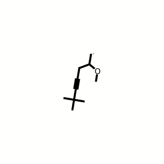 [CH2]C(CC#CC(C)(C)C)OC